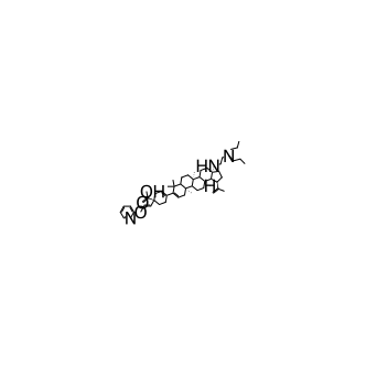 C=C(C)[C@@H]1CC[C@]2(NCCN(CCC)CCC)CCC3[C@H](CCC4[C@@]3(C)CCC3C(C)(C)C(C5=CC[C@](/C=C/Oc6ccccn6)(C(=O)O)CC5)=CC[C@@]34C)C12